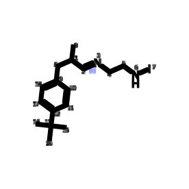 CC(/C=N/CCNI)Cc1ccc(C(C)(C)C)cc1